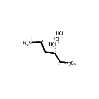 CCCCCCCC[SiH3].Cl.Cl.Cl